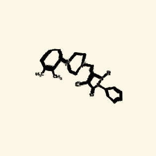 CCn1c(CN2CCN(c3cccc(C)c3C)CC2)c(Cl)c(=O)n1-c1ccccc1